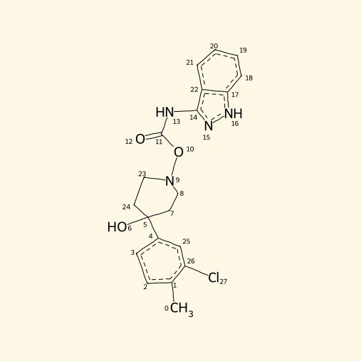 Cc1ccc(C2(O)CCN(OC(=O)Nc3n[nH]c4ccccc34)CC2)cc1Cl